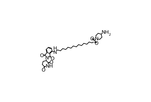 NC1CCN(S(=O)(=O)CCCCCCCCCCCCCCNc2cccc3c2C(=O)N(C2CCC(=O)NC2=O)C3=O)CC1